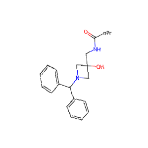 CCCC(=O)NCC1(O)CN(C(c2ccccc2)c2ccccc2)C1